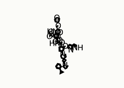 O=C(NS(=O)(=O)c1cc([N+](=O)[O-])c2c(n1)OC[C@H](COC1CCOCC1)N2)c1ccc(N2CCC3(CC2)CC(N2CCC[C@H]2c2ccccc2C2CC2)C3)cc1Oc1cnc2[nH]ccc2c1